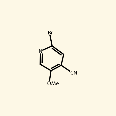 COc1cnc(Br)cc1C#N